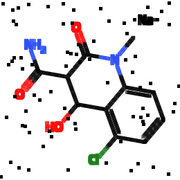 CN1C(=O)C(C(N)=O)C(O)c2c(Cl)cccc21.[Na]